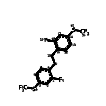 Fc1cc(SC(F)(F)F)ccc1[CH]Cc1ccc(SC(F)(F)F)cc1F